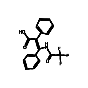 O=C(O)/C(=C(/NC(=O)C(F)(F)F)c1ccccc1)c1ccccc1